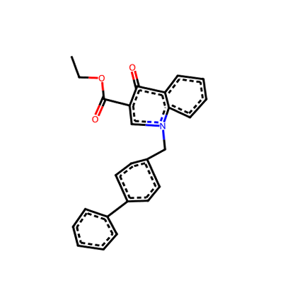 CCOC(=O)c1cn(Cc2ccc(-c3ccccc3)cc2)c2ccccc2c1=O